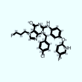 O=c1nc(Nc2ccc(OC3C=CC(F)=CN3)cc2)n(Cc2ccc(Cl)cc2)c2ncn(CCCF)c12